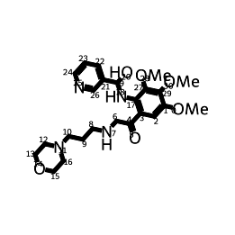 COc1cc(C(=O)CNCCCN2CCOCC2)c(NC(O)c2cccnc2)c(OC)c1OC